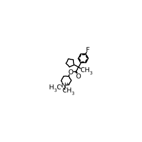 CC(C(=O)OC1CC[N+](C)(C)CC1)(c1ccc(F)cc1)C1CCCC1